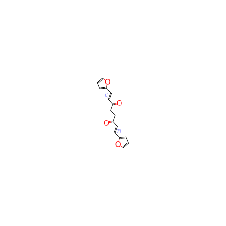 O=C(/C=C/c1ccco1)CCC(=O)/C=C/c1ccco1